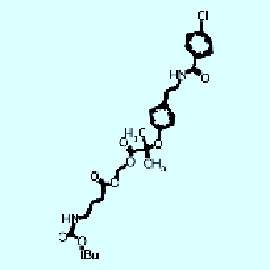 CC(C)(C)OC(=O)NCCCC(=O)OCOC(=O)C(C)(C)Oc1ccc(CCNC(=O)c2ccc(Cl)cc2)cc1